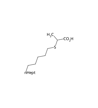 CCCCCCCCCCCCSC(C)C(=O)O